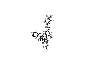 CNCc1cc(-c2ccc(OCC3CCC(F)(F)CC3)cc2F)n(S(=O)(=O)c2cccnc2)c1